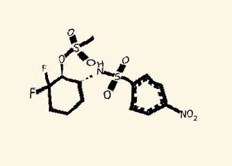 CS(=O)(=O)O[C@H]1[C@H](NS(=O)(=O)c2ccc([N+](=O)[O-])cc2)CCCC1(F)F